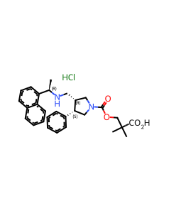 C[C@@H](NC[C@@H]1CN(C(=O)OCC(C)(C)C(=O)O)C[C@@H]1c1ccccc1)c1cccc2ccccc12.Cl